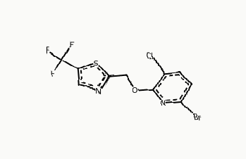 FC(F)(F)c1cnc(COc2nc(Br)ccc2Cl)s1